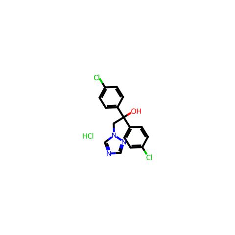 Cl.OC(Cn1cncn1)(c1ccc(Cl)cc1)c1ccc(Cl)cc1